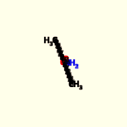 CCCCCCCCCCCC(=O)OC(N)CCCCCCCCCCC